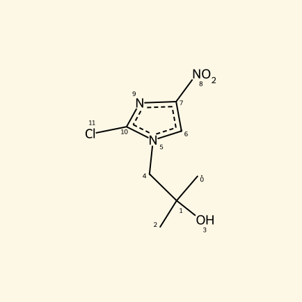 [CH2]C(C)(O)Cn1cc([N+](=O)[O-])nc1Cl